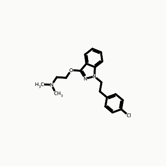 CN(C)CCOc1nn(CCc2ccc(Cl)cc2)c2ccccc12